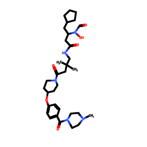 CN1CCN(C(=O)c2ccc(OC3CCN(C(=O)CC(C)(C)CNC(=O)CC(CC4CCCC4)N(O)C=O)CC3)cc2)CC1